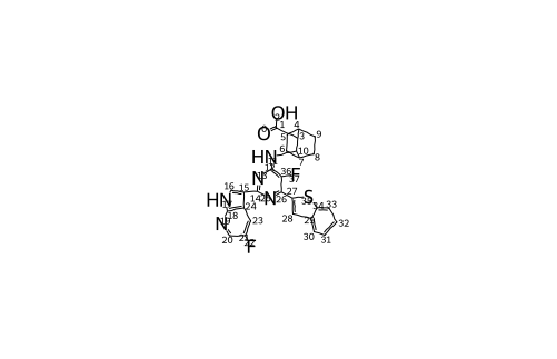 O=C(O)C1C2CCC(CC2)C1Nc1nc(-c2c[nH]c3ncc(F)cc23)nc(-c2cc3ccccc3s2)c1F